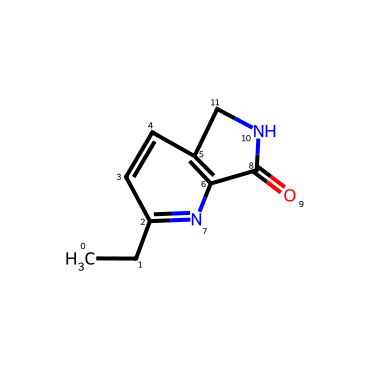 CCc1ccc2c(n1)C(=O)NC2